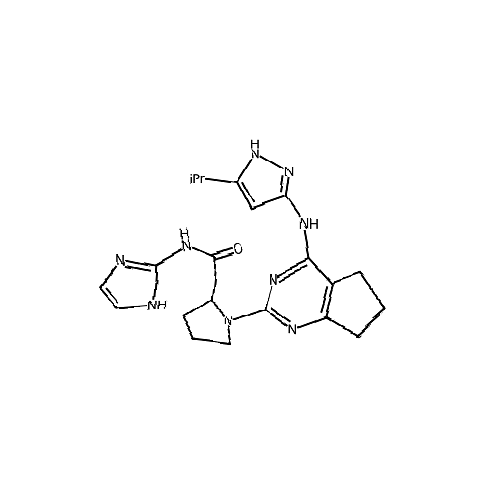 CC(C)c1cc(Nc2nc(N3CCCC3C(=O)Nc3ncc[nH]3)nc3c2CCC3)n[nH]1